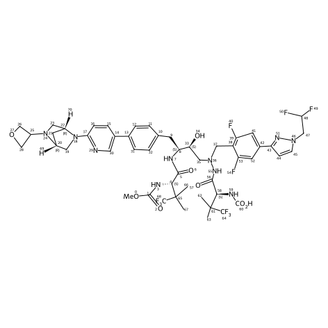 COC(=O)N[C@H](C(=O)N[C@@H](Cc1ccc(-c2ccc(N3C[C@H]4C[C@@H]3CN4C3COC3)nc2)cc1)[C@@H](O)CN(Cc1c(F)cc(-c2ccn(CC(F)F)n2)cc1F)NC(=O)[C@@H](NC(=O)O)C(C)(C)C(F)(F)F)C(C)(C)C(F)(F)F